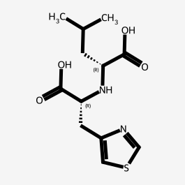 CC(C)C[C@@H](N[C@H](Cc1cscn1)C(=O)O)C(=O)O